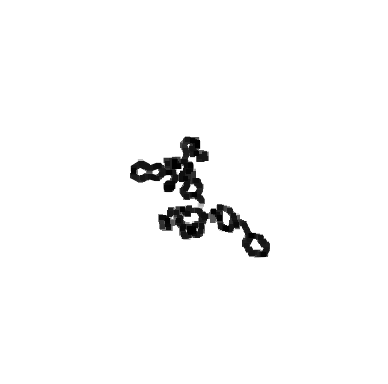 CCC(=O)N[C@H](Cc1ccc(NC(=O)[C@@H](NC(=O)c2ccnn2CC)C2Cc3ccccc3C2)cc1)C(=O)N1CCN(Cc2ccccc2)CC1